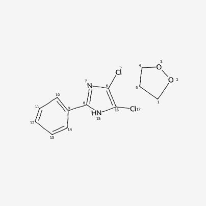 C1COOC1.Clc1nc(-c2ccccc2)[nH]c1Cl